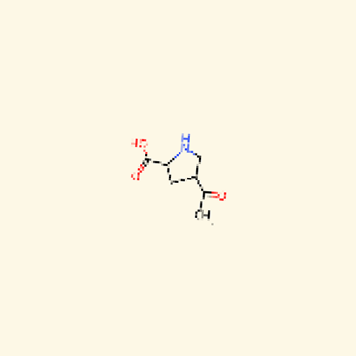 CC(=O)C1CNC(C(=O)O)C1